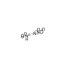 O=C(N[C@H]1C[C@@H](CCN2CCCN(c3cccc(Cl)c3Cl)CC2)C1)c1ccco1